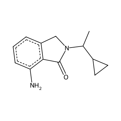 CC(C1CC1)N1Cc2cccc(N)c2C1=O